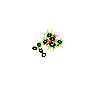 O=C([O-])c1cc(Oc2c(F)c(F)c(F)c(F)c2F)c(Oc2c(F)c(F)c(F)c(F)c2F)c(Oc2c(F)c(F)c(F)c(F)c2F)c1-c1c(F)c(F)c(F)c(F)c1F.c1ccc([S+](c2ccccc2)c2ccc(C3CCCCC3)cc2)cc1